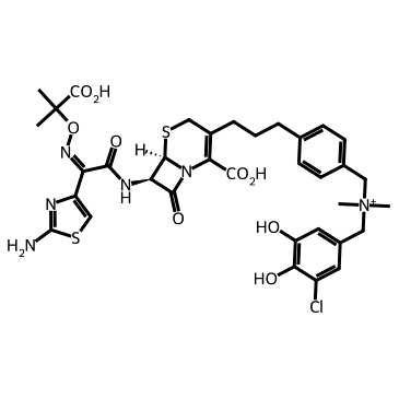 CC(C)(O/N=C(\C(=O)N[C@@H]1C(=O)N2C(C(=O)O)=C(CCCc3ccc(C[N+](C)(C)Cc4cc(O)c(O)c(Cl)c4)cc3)CS[C@H]12)c1csc(N)n1)C(=O)O